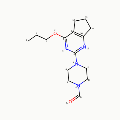 CCCOc1nc(N2CCN(C=O)CC2)nc2c1CCC2